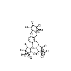 ClC1=C(Cl)C2(Cl)C(Cc3cccc(CC4C(Cl)C5(Cl)C(Cl)=C(Cl)C4(Cl)C5(Cl)Cl)c3CC3C(Cl)C4(Cl)C(Cl)=C(Cl)C3(Cl)C4(Cl)Cl)C(Cl)C1(Cl)C2(Cl)Cl